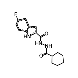 O=C(NNC(=O)C1CCCCC1)c1cc2cc(F)ccc2[nH]1